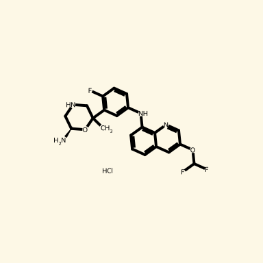 CC1(c2cc(Nc3cccc4cc(OC(F)F)cnc34)ccc2F)CNC[C@H](N)O1.Cl